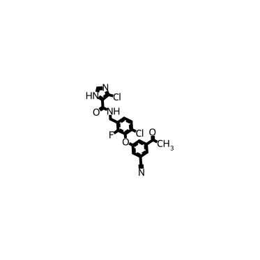 CC(=O)c1cc(C#N)cc(Oc2c(Cl)ccc(CNC(=O)c3[nH]cnc3Cl)c2F)c1